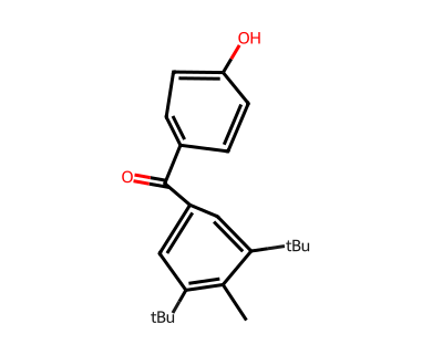 Cc1c(C(C)(C)C)cc(C(=O)c2ccc(O)cc2)cc1C(C)(C)C